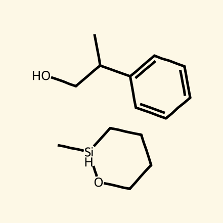 CC(CO)c1ccccc1.C[SiH]1CCCCO1